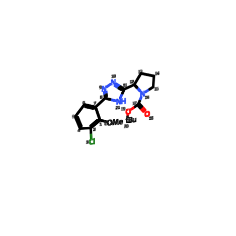 COc1c(Cl)cccc1-c1nnc(C2CCCN2C(=O)OC(C)(C)C)[nH]1